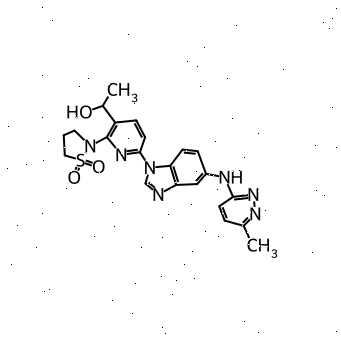 Cc1ccc(Nc2ccc3c(c2)ncn3-c2ccc(C(C)O)c(N3CCCS3(=O)=O)n2)nn1